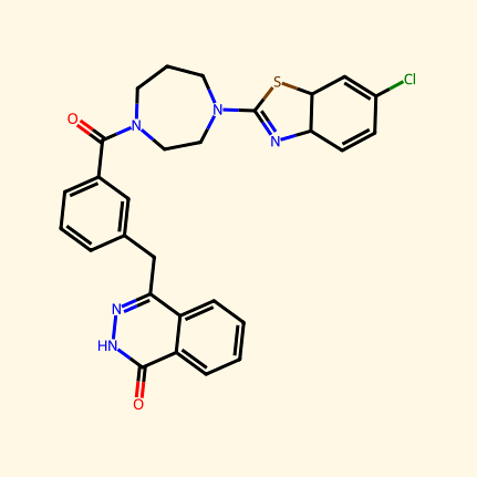 O=C(c1cccc(Cc2n[nH]c(=O)c3ccccc23)c1)N1CCCN(C2=NC3C=CC(Cl)=CC3S2)CC1